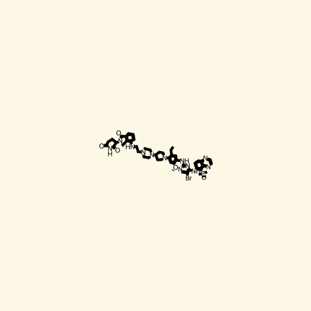 CCc1cc(Nc2ncc(Br)c(Nc3ccc4nccnc4c3P(C)(C)=O)n2)c(OC)cc1N1CCC(N2CCN(CCNc3cccc4c3CN(C3CCC(=O)NC3=O)C4=O)CC2)CC1